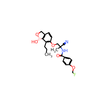 CCCc1c(OCC(C)(C#N)NC(=O)c2ccc(OCF)cc2)ccc2c1B(O)OC2